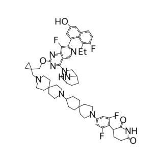 CCc1c(F)ccc2cc(O)cc(-c3ncc4c(N5CC6CCC(C5)N6)nc(OCC5(CN6CCC7(CC6)CCN(C6CCC8(CC6)CCN(c6cc(F)c(C9CCC(=O)NC9=O)c(F)c6)CC8)CC7)CC5)nc4c3F)c12